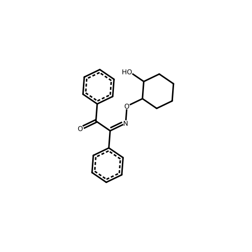 O=C(C(=NOC1CCCCC1O)c1ccccc1)c1ccccc1